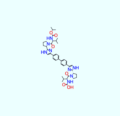 CC(C)OC(=O)N[C@H](C(=O)N1CCCC1c1nc(-c2ccc(-c3ccc(-c4c[nH]c([C@@H]5CCCN5C(=O)[C@@H](NC(=O)O)C(C)C)n4)cc3)cc2)c[nH]1)C(C)C